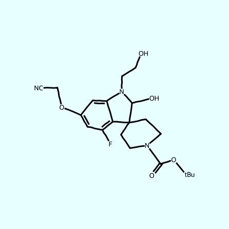 CC(C)(C)OC(=O)N1CCC2(CC1)c1c(F)cc(OCC#N)cc1N(CCO)C2O